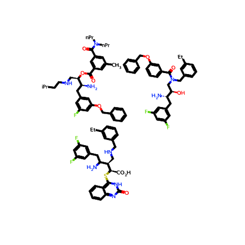 CCCN(CCC)C(=O)c1cc(C)cc(C(=O)O[C@H](CNCCC(C)C)[C@@H](N)Cc2cc(F)cc(OCc3ccccc3)c2)c1.CCc1cccc(CN(C[C@@H](O)[C@@H](N)Cc2cc(F)cc(F)c2)C(=O)c2cccc(OCc3ccccc3)c2)c1.CCc1cccc(CNC[C@H](C(N)Cc2cc(F)cc(F)c2)[C@H](Sc2[nH]c(=O)nc3ccccc23)C(=O)O)c1